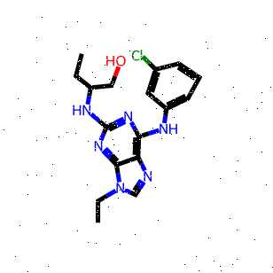 CCC(CO)Nc1nc(Nc2cccc(Cl)c2)c2ncn(CC)c2n1